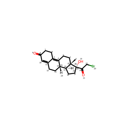 C[C@]12CCC3=C4CCC(=O)C=C4CC[C@H]3[C@@H]1CC[C@]2(O)C(=O)CBr